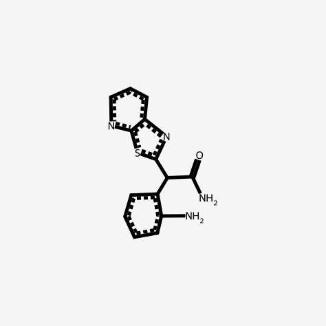 NC(=O)C(c1nc2cccnc2s1)c1ccccc1N